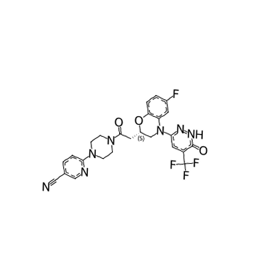 N#Cc1ccc(N2CCN(C(=O)C[C@H]3CN(c4cc(C(F)(F)F)c(=O)[nH]n4)c4cc(F)ccc4O3)CC2)nc1